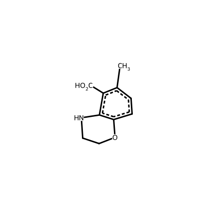 Cc1ccc2c(c1C(=O)O)NCCO2